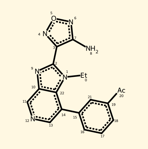 CCn1c(-c2nonc2N)nc2cncc(-c3cccc(C(C)=O)c3)c21